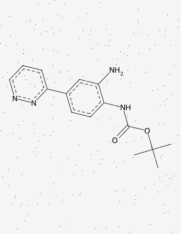 CC(C)(C)OC(=O)Nc1ccc(-c2cccnn2)cc1N